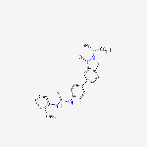 COc1ccccc1NC(=S)Nc1ccc(-c2ccc3c(c2)C(=O)N(C(C(=O)O)C(C)C)C3)cc1